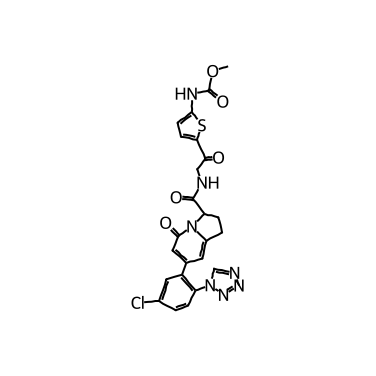 COC(=O)Nc1ccc(C(=O)CNC(=O)C2CCc3cc(-c4cc(Cl)ccc4-n4cnnn4)cc(=O)n32)s1